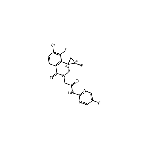 O=C(CN1C[C@@]2(C[C@H]2F)c2c(ccc(Cl)c2F)C1=O)Nc1ncc(F)cn1